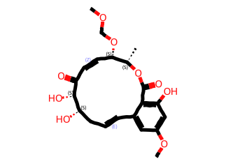 COCO[C@H]1/C=C\C(=O)[C@@H](O)[C@@H](O)C/C=C/c2cc(OC)cc(O)c2C(=O)O[C@H]1C